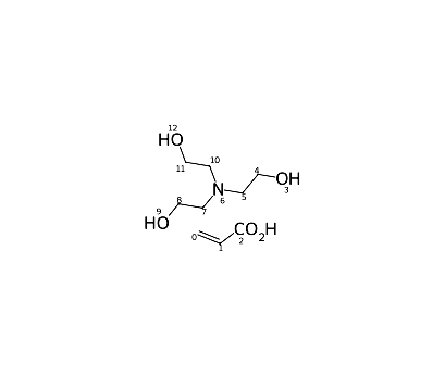 C=CC(=O)O.OCCN(CCO)CCO